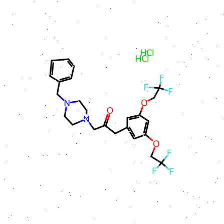 Cl.Cl.O=C(Cc1cc(OCC(F)(F)F)cc(OCC(F)(F)F)c1)CN1CCN(Cc2ccccc2)CC1